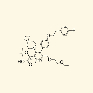 CCOCCOCc1nc(C)c([C@H](OC(C)(C)C)C(=O)O)c(N2CCC3(CCC3)CC2)c1-c1ccc(OCCc2ccc(F)cc2)cc1